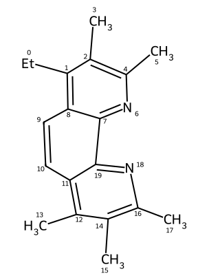 CCc1c(C)c(C)nc2c1ccc1c(C)c(C)c(C)nc12